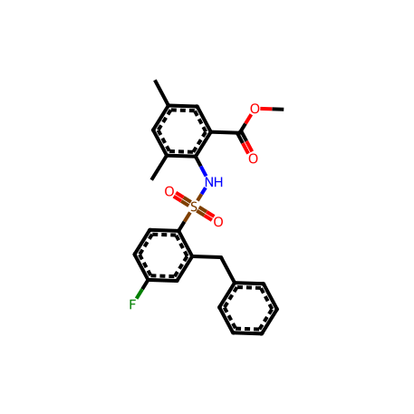 COC(=O)c1cc(C)cc(C)c1NS(=O)(=O)c1ccc(F)cc1Cc1ccccc1